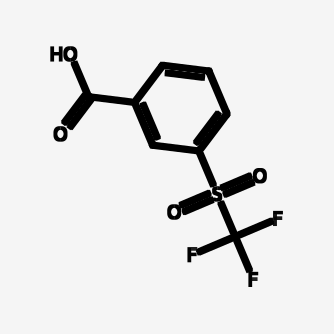 O=C(O)c1cccc(S(=O)(=O)C(F)(F)F)c1